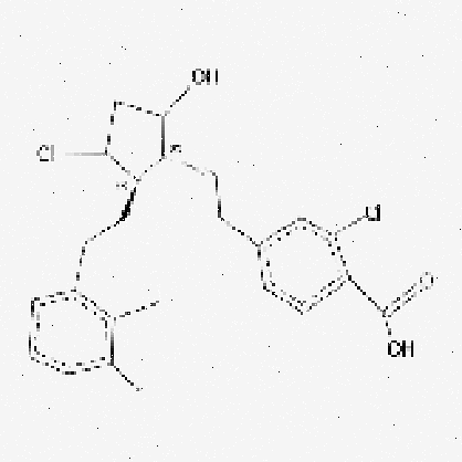 Cc1cccc(CC[C@H]2C(Cl)CC(O)[C@@H]2CCc2ccc(C(=O)O)c(Cl)c2)c1C